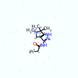 CC(C)CC(=O)Nc1n[nH]c2c1CN(C)C2(C)C